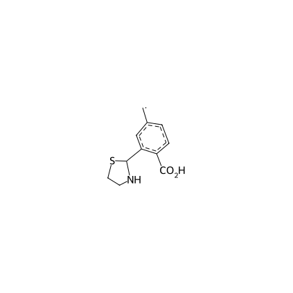 [CH2]c1ccc(C(=O)O)c(C2NCCS2)c1